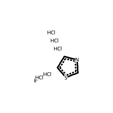 Cl.Cl.Cl.Cl.Cl.[Ir].c1cscn1